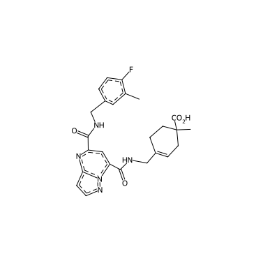 Cc1cc(CNC(=O)c2cc(C(=O)NCC3=CCC(C)(C(=O)O)CC3)n3nccc3n2)ccc1F